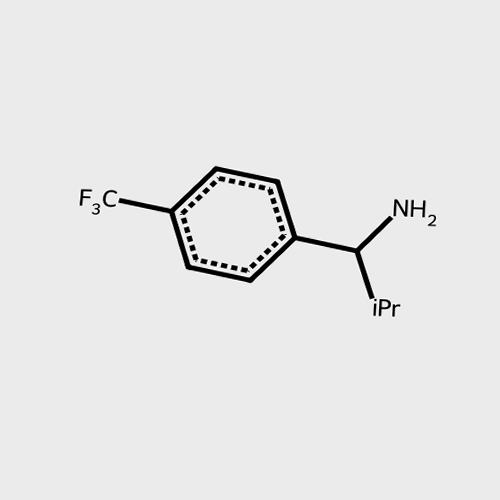 CC(C)C(N)c1ccc(C(F)(F)F)cc1